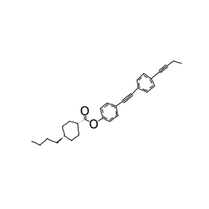 CCC#Cc1ccc(C#Cc2ccc(OC(=O)[C@H]3CC[C@H](CCCC)CC3)cc2)cc1